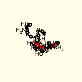 Cc1ncsc1-c1ccc(CNC(=O)[C@@H]2C[C@@H](O)CN2C(=O)[C@@H](NC(=O)N2CCC(c3cnc(N4C5CCC4CN(c4cc(-c6ccccc6O)nnc4N)C5)nc3)CC2)C(C)(C)CCC(C)(C)[C@H](NC(=O)C2(F)CC2)C(=O)N2C[C@H](O)C[C@H]2C(=O)NCc2ccc(-c3scnc3-c3ccc4cn[nH]c4c3)cc2OCCc2ccc(CN3CCN(c4cc(-c5ccccc5O)nnc4N)CC3)cc2)cc1